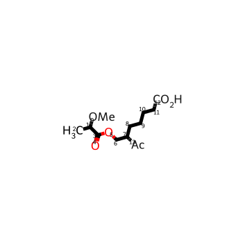 COC(C)C(=O)OCC(CCCCC(=O)O)C(C)=O